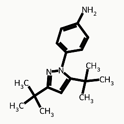 CC(C)(C)c1cc(C(C)(C)C)n(-c2ccc(N)cc2)n1